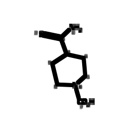 NC(=S)C1CCN(C(=O)O)CC1